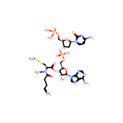 C=CCCC(=O)N(C)[C@@H](CSSC)C(=O)O[C@H]1[C@@H](O)[C@H](n2cnc3c(N)ncnc32)O[C@@H]1COP(=O)(O)O[C@H]1C[C@H](n2ccc(N)nc2=O)O[C@@H]1COP(=O)(O)O